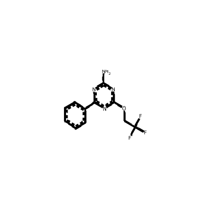 Nc1nc(OCC(F)(F)F)nc(-c2ccccc2)n1